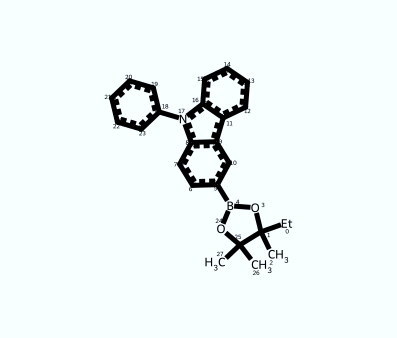 CCC1(C)OB(c2ccc3c(c2)c2ccccc2n3-c2ccccc2)OC1(C)C